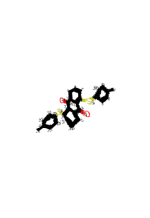 Cc1ccc(Sc2cccc3c2C(=O)c2cccc(Sc4ccc(C)cc4)c2C3=O)cc1